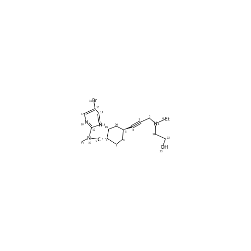 CCN(CC#C[C@H]1CC[C@H](CN(C)c2ncc(Br)cn2)CC1)CCO